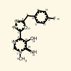 Cn1cnc(-c2nnc(Cc3ccc(F)cc3)o2)c(O)c1=N